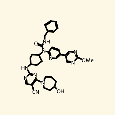 COc1ncc(-c2ccc(N(C(=O)NCc3ccccc3)C3CCC(Nc4ncc(C#N)c(N5CCCC(O)CC5)n4)CC3)nc2)cn1